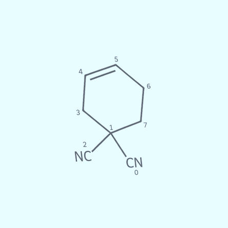 N#CC1(C#N)CC=CCC1